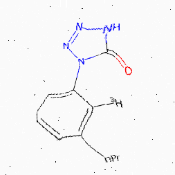 [3H]c1c(CCC)cccc1-n1nn[nH]c1=O